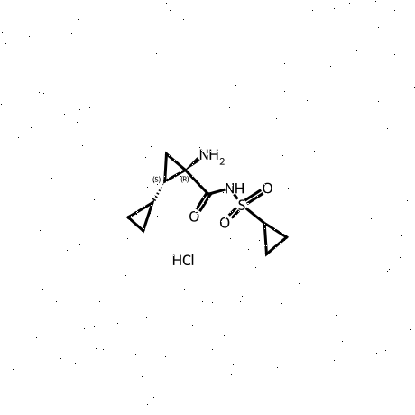 Cl.N[C@]1(C(=O)NS(=O)(=O)C2CC2)C[C@H]1C1CC1